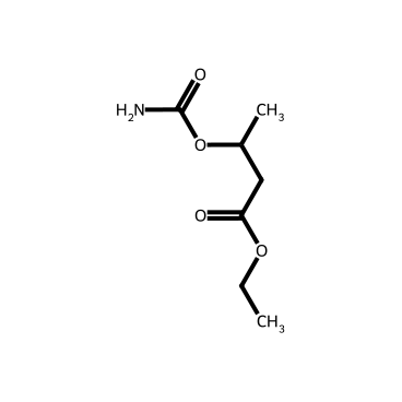 CCOC(=O)CC(C)OC(N)=O